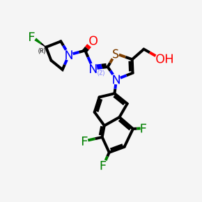 O=C(/N=c1\sc(CO)cn1-c1ccc2c(F)c(F)cc(F)c2c1)N1CC[C@@H](F)C1